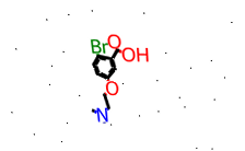 CN(C)CCOc1ccc(Br)c(C(=O)O)c1